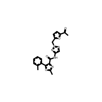 CC(=O)c1ccc(Cn2ncc(NC(=O)c3nc(C)oc3-c3ccccc3C)n2)o1